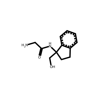 NCC(=O)NC1(CO)CCc2ccccc21